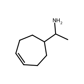 CC(N)C1CCC=CCC1